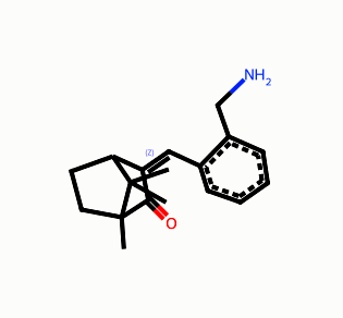 CC12CCC(/C(=C/c3ccccc3CN)C1=O)C2(C)C